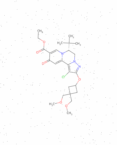 CCOC(=O)c1cn2c(cc1=O)-c1c(Cl)c(OC3CC(COC)(COC)C3)nn1C[C@H]2C(C)(C)C